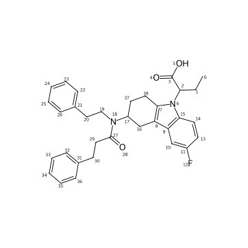 CCC(C(=O)O)n1c2c(c3cc(F)ccc31)CC(N(CCc1ccccc1)C(=O)CCc1ccccc1)CC2